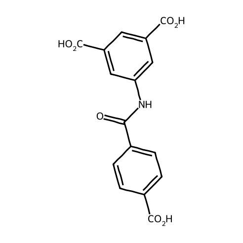 O=C(O)c1ccc(C(=O)Nc2cc(C(=O)O)cc(C(=O)O)c2)cc1